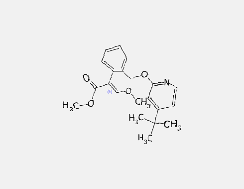 CO/C=C(/C(=O)OC)c1ccccc1COc1cc(C(C)(C)C)ccn1